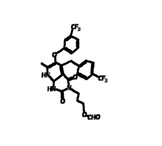 CC1=C(Oc2cccc(C(F)(F)F)c2)C(Cc2ccc(C(F)(F)F)cc2)=C2C(=O)N(CCCOC=O)C(=O)NC2N1